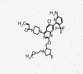 C=CC(=O)N1CCN(c2nc(OCC3CC(F)CN3CCOC)nc3cc(-c4nc(N)ccc4C(F)(F)F)c(Cl)cc23)CC1